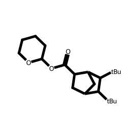 CC(C)(C)C1C2CC(C(=O)OC3CCCCO3)C(C2)C1C(C)(C)C